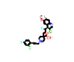 COc1ccc2ncc(Cl)c(C(F)CCC3(C(=O)O)CCN(CC#Cc4ccc(F)cc4Cl)CC3)c2c1